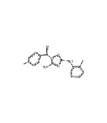 Cc1ccc(C(=O)n2nc(Nc3ccccc3C)nc2N)cc1